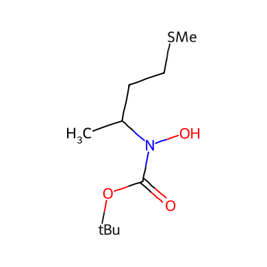 CSCCC(C)N(O)C(=O)OC(C)(C)C